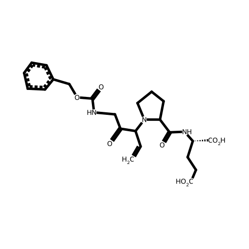 C=CC(C(=O)CNC(=O)OCc1ccccc1)N1CCCC1C(=O)N[C@@H](CCC(=O)O)C(=O)O